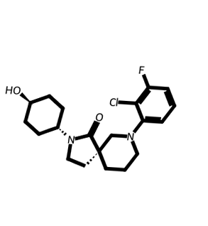 O=C1N([C@H]2CC[C@H](O)CC2)CC[C@]12CCCN(c1cccc(F)c1Cl)C2